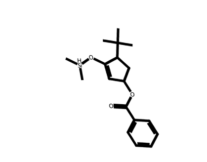 C[SiH](C)OC1=CC(OC(=O)c2ccccc2)CC1C(C)(C)C